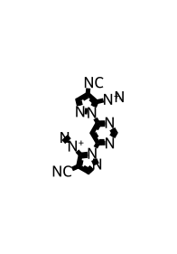 [C-]#[N+]c1cnn(-c2cc(-n3ncc(C#N)c3[N+]#N)ncn2)c1[N+]#N